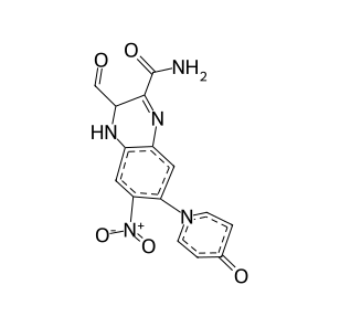 NC(=O)C1=Nc2cc(-n3ccc(=O)cc3)c([N+](=O)[O-])cc2NC1C=O